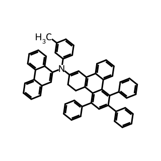 Cc1cccc(N(C2=Cc3c(c4c(-c5ccccc5)cc(-c5ccccc5)c(-c5ccccc5)c4c4ccccc34)CC2)c2cc3ccccc3c3ccccc23)c1